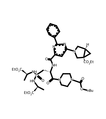 CCCCOC(=O)N1CCN(C(=O)[C@H](CP(=O)(N[C@@H](C)C(=O)OCC)N[C@@H](C)C(=O)OCC)NC(=O)c2cc(N3C[C@H]4C[C@@]4(C(=O)OCC)C3)nc(-c3ccccc3)n2)CC1